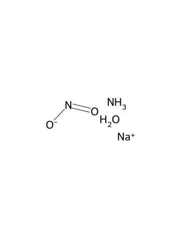 N.O.O=N[O-].[Na+]